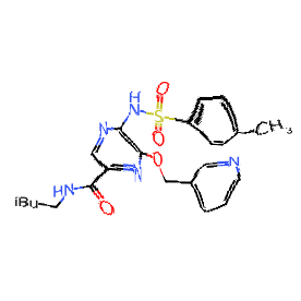 CCC(C)CNC(=O)c1cnc(NS(=O)(=O)c2ccc(C)cc2)c(OCc2cccnc2)n1